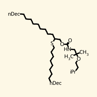 CCCCCCCCCCCCCCCCCCCC(COC(=O)NCC(C)(C)OCCC(C)C)SCCCCCCCCCCCCCCCCCC